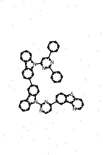 c1ccc(-c2cc(-n3c4ccccc4c4ccc(-c5ccc6c(c5)c5ccccc5n6-c5nccc(-c6ccc7sc8cccnc8c7c6)n5)cc43)nc(-c3ccccc3)n2)cc1